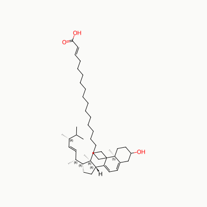 CC(C)[C@@H](C)C=C[C@@H](C)[C@H]1CC[C@H]2C3=CC=C4CC(O)CC[C@]4(C)C3(CCCCCCCCCCCCCCCC=CC(=O)O)CC[C@]12C